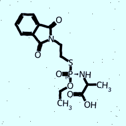 CCO[P@](=O)(NC(C)C(=O)O)SCCN1C(=O)c2ccccc2C1=O